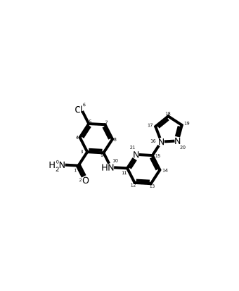 NC(=O)c1cc(Cl)ccc1Nc1cccc(-n2cccn2)n1